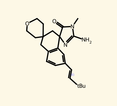 CN1C(=O)C2(CC3(CCOCC3)Cc3ccc(/C=C/C(C)(C)C)cc32)N=C1N